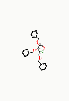 O=C[C@@H](OCc1ccccc1)[C@H](OCc1ccccc1)[C@@H](Cl)COCc1ccccc1